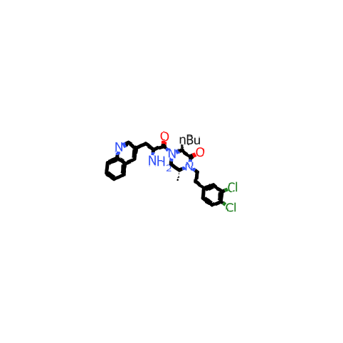 CCCC[C@H]1C(=O)N(CCc2ccc(Cl)c(Cl)c2)[C@H](C)CN1C(=O)C(N)Cc1cnc2ccccc2c1